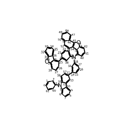 c1ccc(-n2c3ccccc3c3cc(-c4cccc(N(c5cccc(-c6cccc7oc8ccccc8c67)c5)c5cccc6oc7c8ccccc8ccc7c56)c4)ccc32)cc1